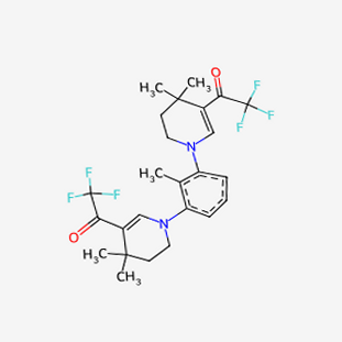 Cc1c(N2C=C(C(=O)C(F)(F)F)C(C)(C)CC2)cccc1N1C=C(C(=O)C(F)(F)F)C(C)(C)CC1